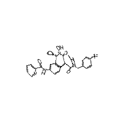 O=C(Nc1ccc2c(c1)C(=O)N(O)C(=O)C2C(=O)NCc1ccc(F)cc1)c1ccccn1